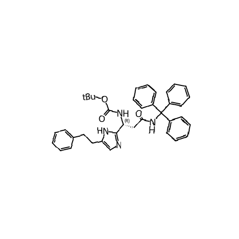 CC(C)(C)OC(=O)N[C@H](CC(=O)NC(c1ccccc1)(c1ccccc1)c1ccccc1)c1ncc(CCc2ccccc2)[nH]1